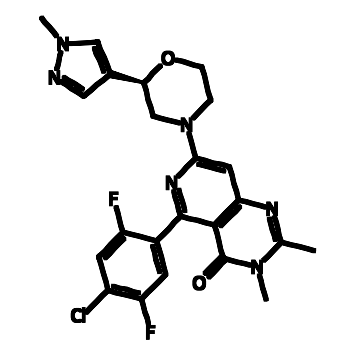 Cc1nc2cc(N3CCO[C@H](c4cnn(C)c4)C3)nc(-c3cc(F)c(Cl)cc3F)c2c(=O)n1C